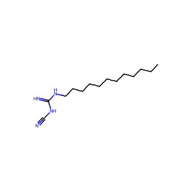 CCCCCCCCCCCCNC(=N)NC#N